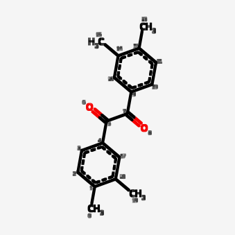 Cc1ccc(C(=O)C(=O)c2ccc(C)c(C)c2)cc1C